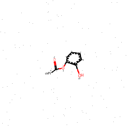 CC[CH]C(=O)Oc1ccccc1O